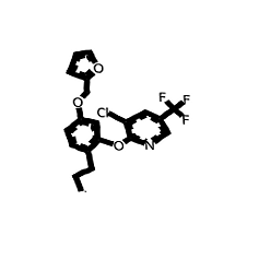 [CH2]CCc1ccc(OCc2ccco2)cc1Oc1ncc(C(F)(F)F)cc1Cl